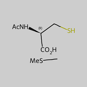 CC(=O)N[C@@H](CS)C(=O)O.CSC